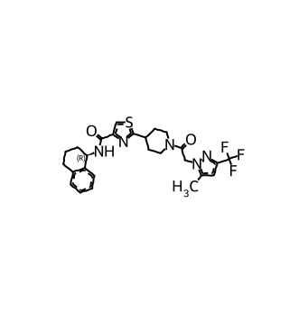 Cc1cc(C(F)(F)F)nn1CC(=O)N1CCC(c2nc(C(=O)N[C@@H]3CCCc4ccccc43)cs2)CC1